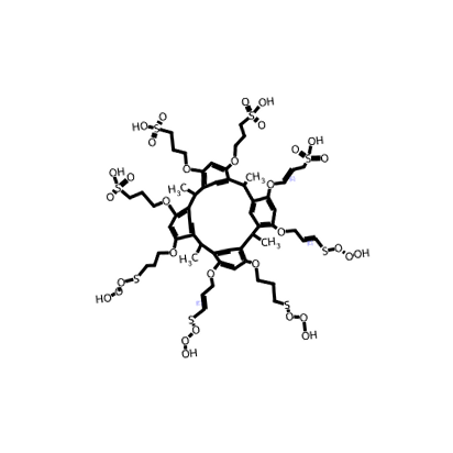 CC1c2cc(c(OC/C=C/SOOO)cc2O/C=C/CS(=O)(=O)O)C(C)c2cc(c(OC/C=C/SOOO)cc2OCCCSOOO)C(C)c2cc(c(OCCCS(=O)(=O)O)cc2OCCCSOOO)C(C)c2cc1c(OCCCS(=O)(=O)O)cc2OCCCS(=O)(=O)O